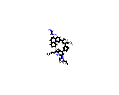 C=C/C=C(\C)C1=CC(c2cccc(/C(C=C)=C/C(=C\C)C3=CC=C4C(NCC=N)=CCc5ccccc5[C@H]4C3)c2)=CC(/C(=C/C)NCCC)N1